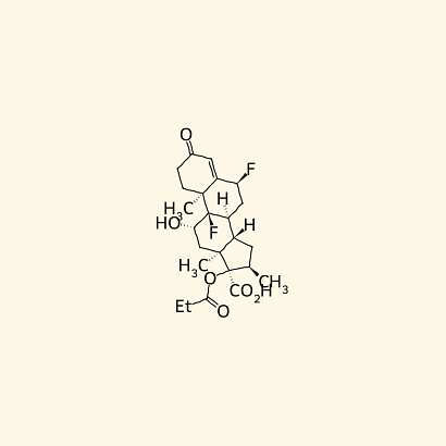 CCC(=O)O[C@]1(C(=O)O)[C@H](C)C[C@H]2[C@@H]3C[C@H](F)C4=CC(=O)CC[C@]4(C)[C@@]3(F)[C@@H](O)C[C@@]21C